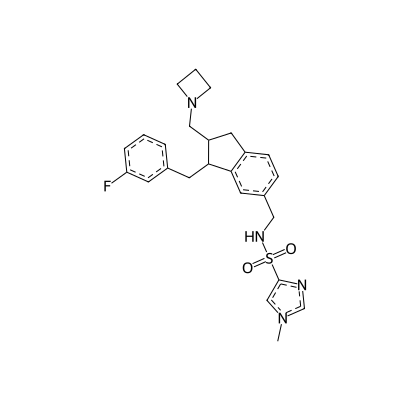 Cn1cnc(S(=O)(=O)NCc2ccc3c(c2)C(Cc2cccc(F)c2)C(CN2CCC2)C3)c1